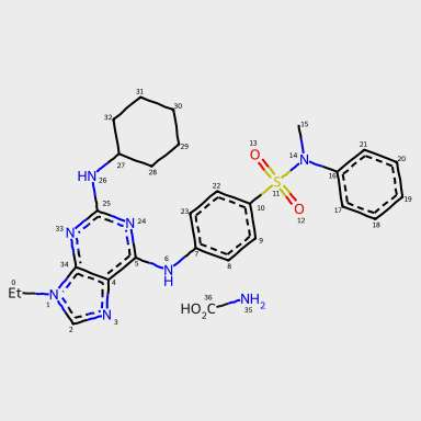 CCn1cnc2c(Nc3ccc(S(=O)(=O)N(C)c4ccccc4)cc3)nc(NC3CCCCC3)nc21.NC(=O)O